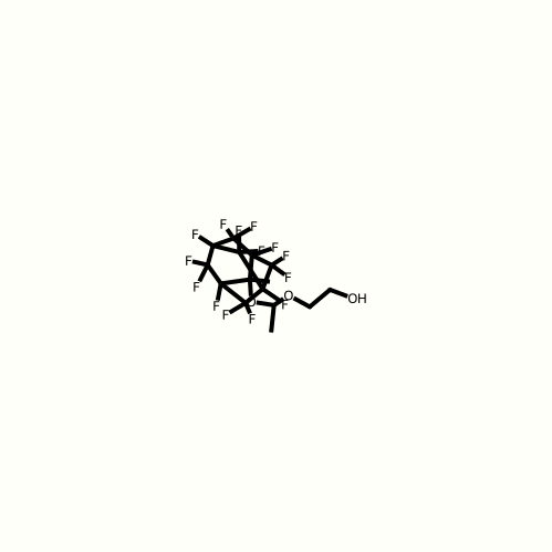 CC(OCCO)OC1(C)C2(F)C(F)(F)C3(F)C(F)(F)C(F)(C2(F)F)C(F)(F)C1(F)C3(F)F